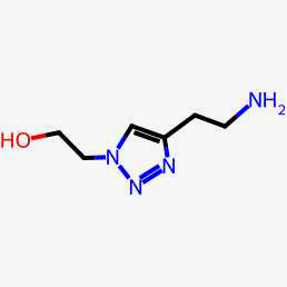 NCCc1cn(CCO)nn1